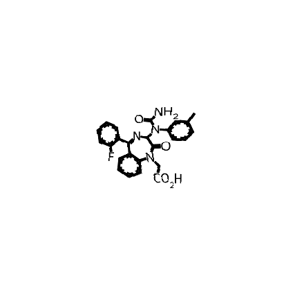 Cc1cccc(N(C(N)=O)C2N=C(c3ccccc3F)c3ccccc3N(CC(=O)O)C2=O)c1